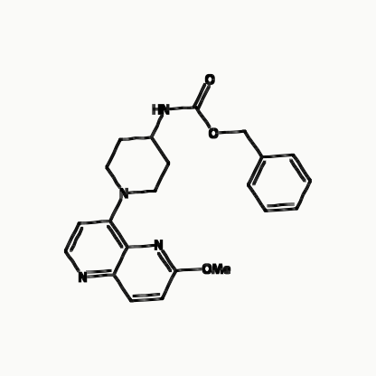 COc1ccc2nccc(N3CCC(NC(=O)OCc4ccccc4)CC3)c2n1